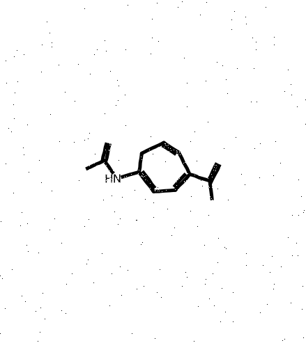 C=C(C)NC1=CC=C(C(=C)C)C=CC1